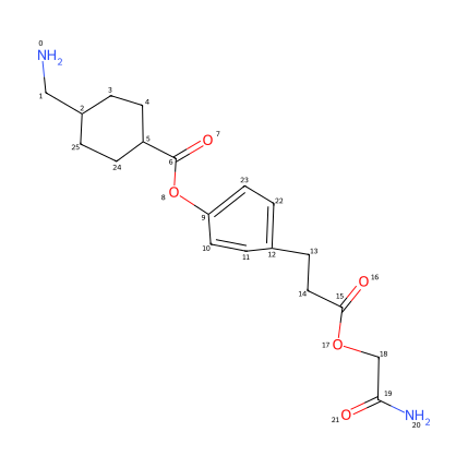 NCC1CCC(C(=O)Oc2ccc(CCC(=O)OCC(N)=O)cc2)CC1